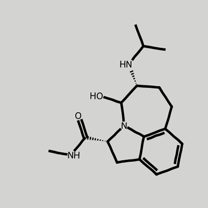 CNC(=O)[C@H]1Cc2cccc3c2N1C(O)[C@H](NC(C)C)CC3